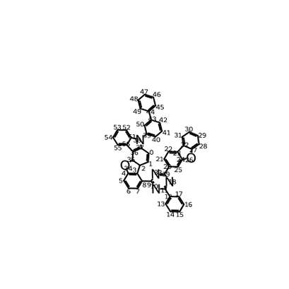 C1=CC2c3c(cccc3-c3nc(-c4ccccc4)nc(-c4ccc5c(c4)oc4ccccc45)n3)OC2c2c1n(-c1cccc(-c3ccccc3)c1)c1ccccc21